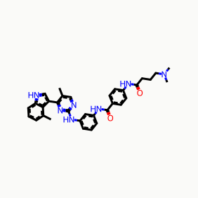 Cc1cnc(Nc2cccc(NC(=O)c3ccc(NC(=O)CCCN(C)C)cc3)c2)nc1-c1c[nH]c2cccc(C)c12